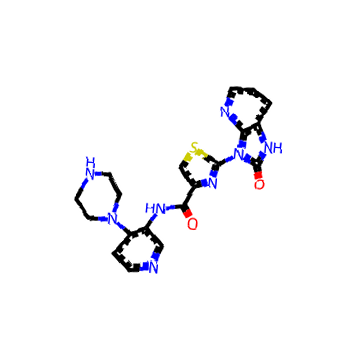 O=C(Nc1cnccc1N1CCNCC1)c1csc(-n2c(=O)[nH]c3cccnc32)n1